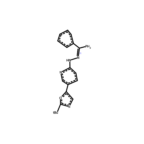 CC(C)(C)c1ncc(-c2ccc(N/N=C(/P)c3ccccc3)nc2)o1